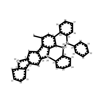 Cc1cc2c3c4c1c1cc5oc6ccccc6c5cc1n4-c1ccccc1B3N(c1ccccc1)c1ccccc1-2